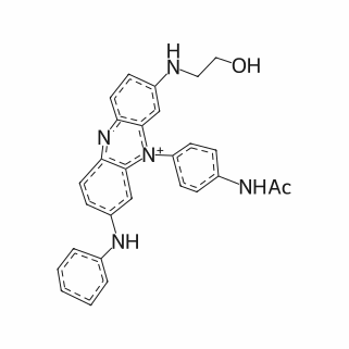 CC(=O)Nc1ccc(-[n+]2c3cc(NCCO)ccc3nc3ccc(Nc4ccccc4)cc32)cc1